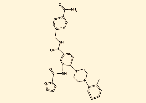 Cc1ccccc1N1CCN(c2ccc(C(=O)NCc3ccc(C(N)=O)cc3)cc2NC(=O)c2ccco2)CC1